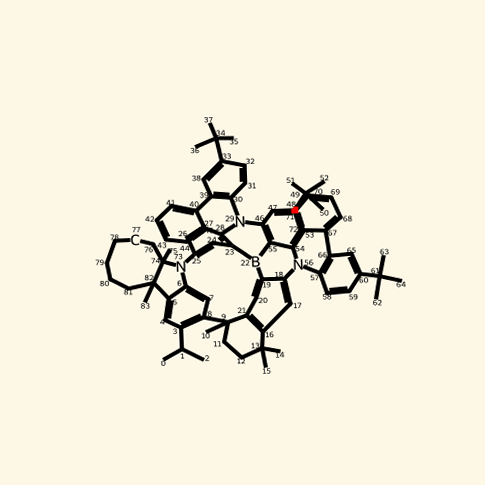 CC(C)c1cc2c3cc1C1(C)CCC(C)(C)c4cc5c(cc41)B1c4cc(ccc4N(c4ccc(C(C)(C)C)cc4-c4ccccc4)c4cc(C(C)(C)C)cc(c41)N5c1ccc(C(C)(C)C)cc1-c1ccccc1)N3C1(C)CCCCCCC21C